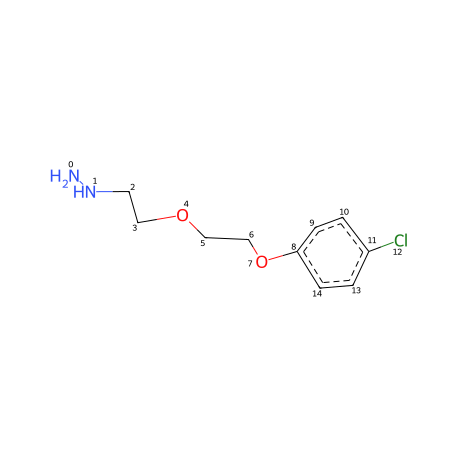 NNCCOCCOc1ccc(Cl)cc1